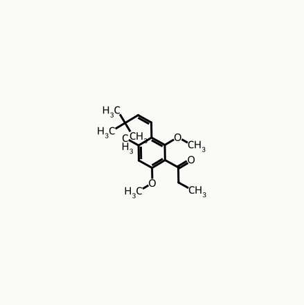 CCC(=O)c1c(OC)cc(C)c(/C=C\C(C)(C)C)c1OC